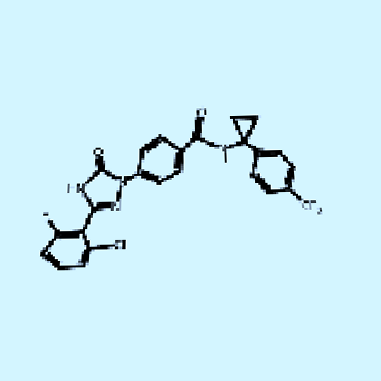 O=C(NC1(c2ccc(C(F)(F)F)cc2)CC1)c1ccc(-n2nc(-c3c(F)cccc3Cl)[nH]c2=O)cc1